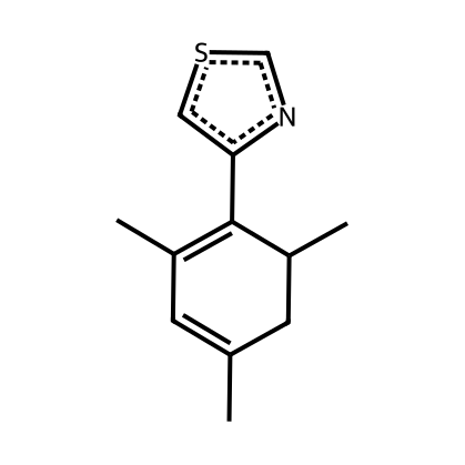 CC1=CC(C)=C(c2cscn2)C(C)C1